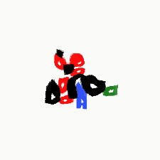 COC(=O)COc1c(Oc2ccccc2)c(=O)[nH]c2cc(Cl)ccc12